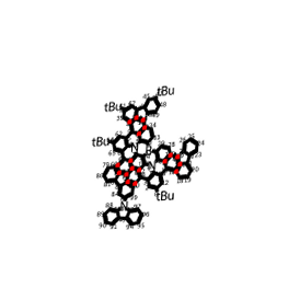 CC(C)(C)c1cc(-c2ccccc2)c(N2c3cc(-n4c5ccccc5c5ccccc54)ccc3B3c4ccc(-n5c6ccc(C(C)(C)C)cc6c6cc(C(C)(C)C)ccc65)cc4N(c4c(-c5ccccc5)cc(C(C)(C)C)cc4-c4ccccc4)c4cc(-n5c6ccccc6c6cc(-n7c8ccccc8c8ccccc87)ccc65)cc2c43)c(-c2ccccc2)c1